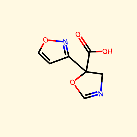 O=C(O)C1(c2ccon2)CN=CO1